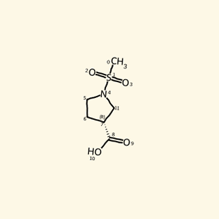 CS(=O)(=O)N1CC[C@@H](C(=O)O)C1